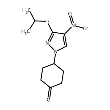 CC(C)Oc1nn(C2CCC(=O)CC2)cc1[N+](=O)[O-]